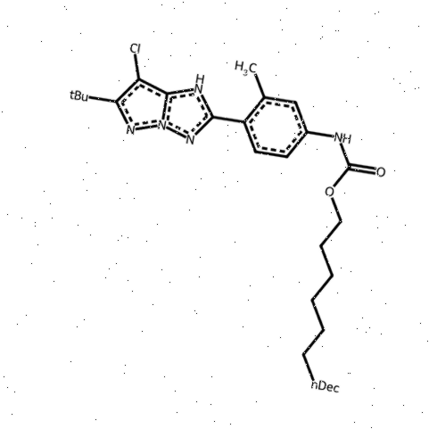 CCCCCCCCCCCCCCCCOC(=O)Nc1ccc(-c2nn3nc(C(C)(C)C)c(Cl)c3[nH]2)c(C)c1